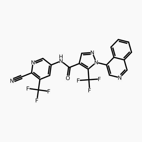 N#Cc1ncc(NC(=O)c2cnn(-c3cncc4ccccc34)c2C(F)(F)F)cc1C(F)(F)F